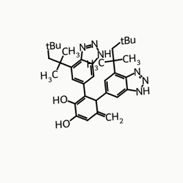 C=C1C=C(O)C(O)=C(c2cc(C(C)(C)CC(C)(C)C)c3nn[nH]c3c2)C1c1cc(C(C)(C)CC(C)(C)C)c2nn[nH]c2c1